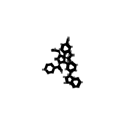 CC(C)(C)C[C@H]1N[C@@H](C(=O)N2CCOCC2)[C@H](c2cccc(-n3nnc4ccccc43)c2)[C@@]12C(=O)Nc1cc(Cl)ccc12